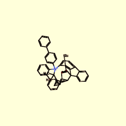 CC(C)(C)c1ccc2c(c1)C13c4ccccc4-c4ccc(cc41)[N+](c1ccc(-c4ccccc4)cc1)(c1ccccc1-c1ccccc1)C(C)(C)c1ccc-2c3c1